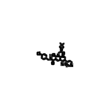 CC1(C)CN(C(=O)Cn2c(=O)c(C(=O)NCc3ccc(Cl)cc3)cc3c(N)c(-c4ccncc4)cnc32)C1